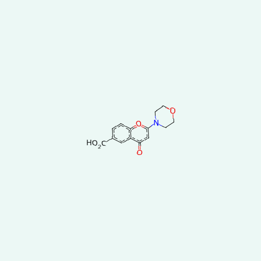 O=C(O)c1ccc2oc(N3CCOCC3)cc(=O)c2c1